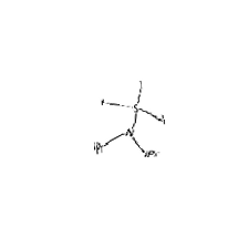 CC(C)N(C(C)C)S(I)(I)I